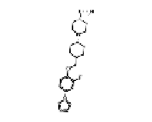 O=C(O)N1CCN([C@H]2CC[C@H](COc3ccc(-n4ccnc4)cc3F)CC2)CC1